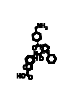 NC[C@H]1CC[C@H](C(=O)N2CC[C@@H](C3CCCCC3)[C@H]2C(=O)Nc2ccc3oc(C(=O)O)cc3c2)CC1